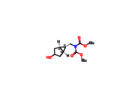 CC(C)(C)OC(=O)N(C[C@H]1[C@@H]2CC(O)C[C@@H]21)C(=O)OC(C)(C)C